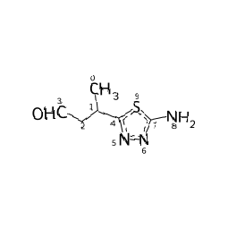 CC(CC=O)c1nnc(N)s1